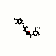 CCOC(=O)C1CNCC(NC23CC(NC(=O)COc4ccc(Cl)c(F)c4)(C2)C3)C1